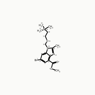 COC(=O)c1cc(Br)cc2c1nc(C)n2COCC[Si](C)(C)C